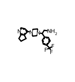 NCC(c1ccc(C(F)(F)F)cc1)N1CCN(c2ccnc3c2CCC3)CC1